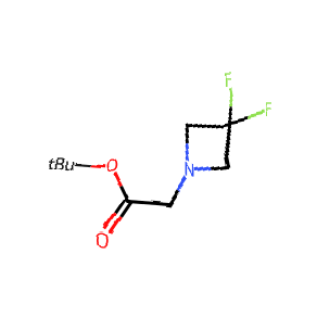 CC(C)(C)OC(=O)CN1CC(F)(F)C1